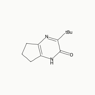 CC(C)(C)c1nc2c([nH]c1=O)CCC2